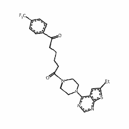 CCc1cc2c(N3CCN(C(=O)CCCCC(=O)c4ccc(C(F)(F)F)cc4)CC3)ncnc2s1